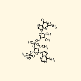 CO[C@H]1[C@H](OP(=O)(O)OC[C@H]2O[C@@H](n3cnc4c(=O)[nH]c(N)nc43)[C@@H](O)[C@H]2O)[C@@H](OP(C)(=O)O)O[C@H]1n1cnc2c(N)ncnc21